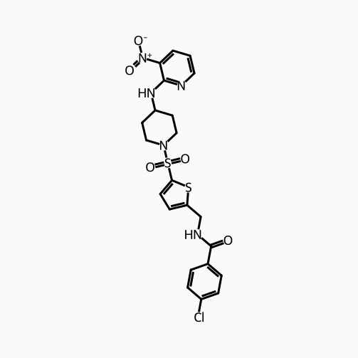 O=C(NCc1ccc(S(=O)(=O)N2CCC(Nc3ncccc3[N+](=O)[O-])CC2)s1)c1ccc(Cl)cc1